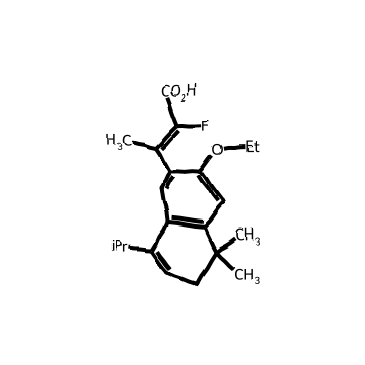 CCOc1cc2c(cc1C(C)=C(F)C(=O)O)C(C(C)C)=CCC2(C)C